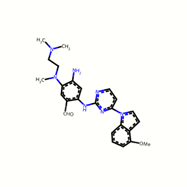 COc1cccc2c1ccn2-c1ccnc(Nc2cc(N)c(N(C)CCN(C)C)cc2C=O)n1